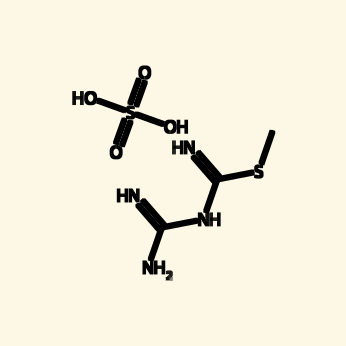 CSC(=N)NC(=N)N.O=S(=O)(O)O